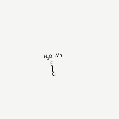 FCl.O.[Mn]